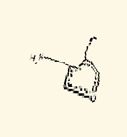 Nc1cocc1Cl